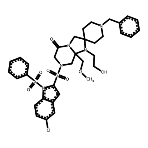 COCC12CN(S(=O)(=O)c3cc4cc(Cl)ccc4n3S(=O)(=O)c3ccccc3)CC(=O)N1CC1(CCN(Cc3ccccc3)CC1)N2CCO